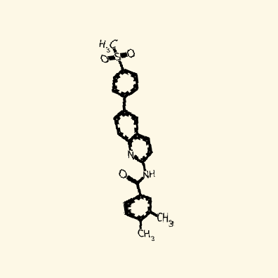 Cc1ccc(C(=O)Nc2ccc3cc(-c4ccc(S(C)(=O)=O)cc4)ccc3n2)cc1C